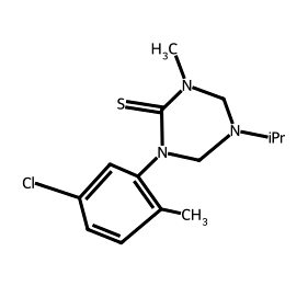 Cc1ccc(Cl)cc1N1CN(C(C)C)CN(C)C1=S